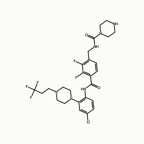 O=C(Nc1ccc(Cl)cc1N1CCN(CCC(F)(F)F)CC1)c1ccc(CNC(=O)N2CCNCC2)c(F)c1F